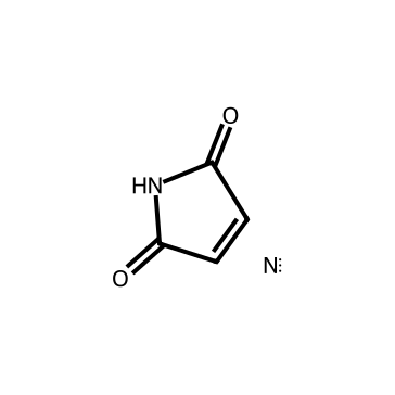 O=C1C=CC(=O)N1.[N]